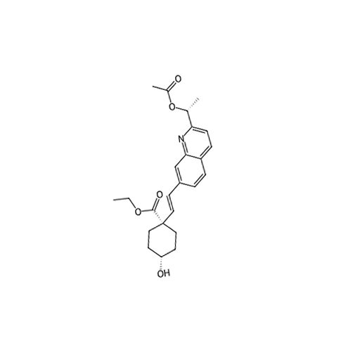 CCOC(=O)[C@]1(/C=C/c2ccc3ccc([C@@H](C)OC(C)=O)nc3c2)CC[C@H](O)CC1